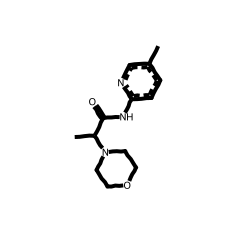 Cc1ccc(NC(=O)C(C)N2CCOCC2)nc1